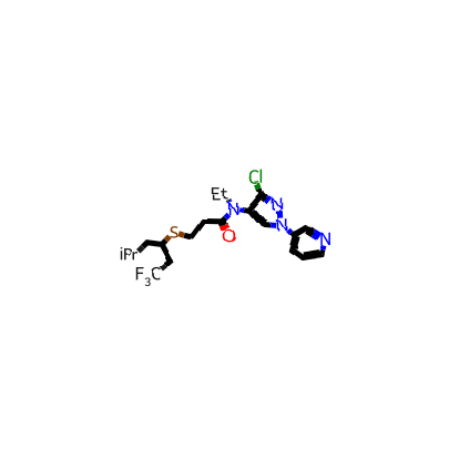 CCN(C(=O)CCSC(CC(C)C)CC(F)(F)F)c1cn(-c2cccnc2)nc1Cl